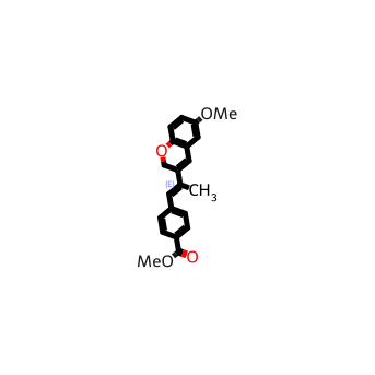 COC(=O)c1ccc(/C=C(\C)C2=Cc3cc(OC)ccc3OC2)cc1